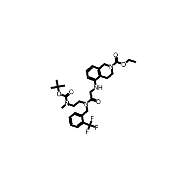 CCOC(=O)N1CCc2c(cccc2NCC(=O)N(CCN(C)C(=O)OC(C)(C)C)Cc2ccccc2C(F)(F)F)C1